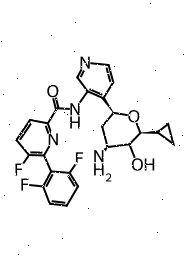 N[C@H]1C[C@@H](c2ccncc2NC(=O)c2ccc(F)c(-c3c(F)cccc3F)n2)O[C@@H](C2CC2)C1O